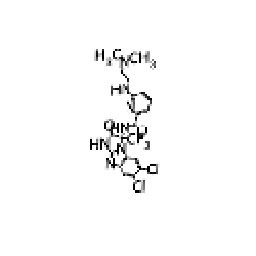 CN(C)CCNc1cccc(C(=O)NC2(C(F)(F)F)C(=O)Nc3nc4cc(Cl)c(Cl)cc4n32)n1